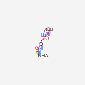 CC(=O)Nc1nc(C(=O)Nc2ccc(CCOC(=O)NNC(=O)OC(C)(C)C)cc2)cs1